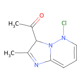 CC(=O)C1C(C)=NC2=CC=CN(Cl)N21